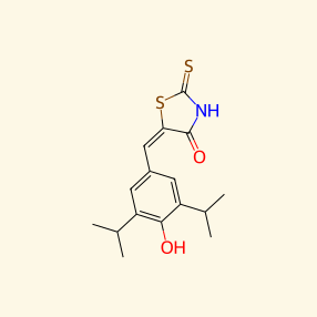 CC(C)c1cc(/C=C2/SC(=S)NC2=O)cc(C(C)C)c1O